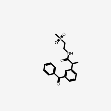 CC(C(=O)NCCS(C)(=O)=O)c1cccc(C(=O)c2ccccc2)c1